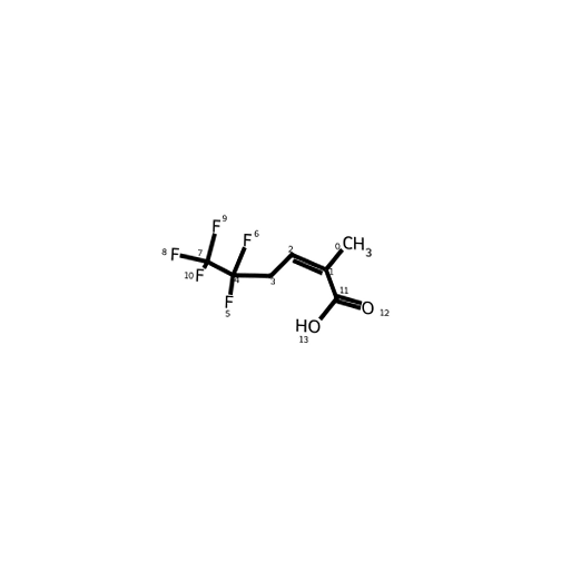 CC(=CCC(F)(F)C(F)(F)F)C(=O)O